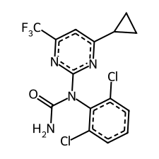 NC(=O)N(c1nc(C2CC2)cc(C(F)(F)F)n1)c1c(Cl)cccc1Cl